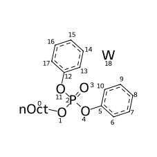 CCCCCCCCOP(=O)(Oc1ccccc1)Oc1ccccc1.[W]